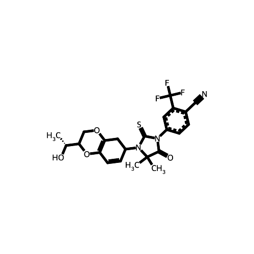 C[C@@H](O)C1COC2=C(C=CC(N3C(=S)N(c4ccc(C#N)c(C(F)(F)F)c4)C(=O)C3(C)C)C2)O1